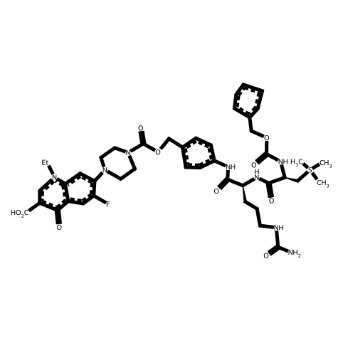 CCn1cc(C(=O)O)c(=O)c2cc(F)c(N3CCN(C(=O)OCc4ccc(NC(=O)[C@H](CCCNC(N)=O)NC(=O)[C@H](CS(C)(C)C)NC(=O)OCc5ccccc5)cc4)CC3)cc21